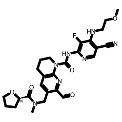 COCCNc1c(C#N)cnc(NC(=O)N2CCCc3cc(CN(C)C(=O)[C@H]4CCCO4)c(C=O)nc32)c1F